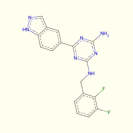 Nc1nc(NCc2cccc(F)c2F)nc(-c2ccc3[nH]ncc3c2)n1